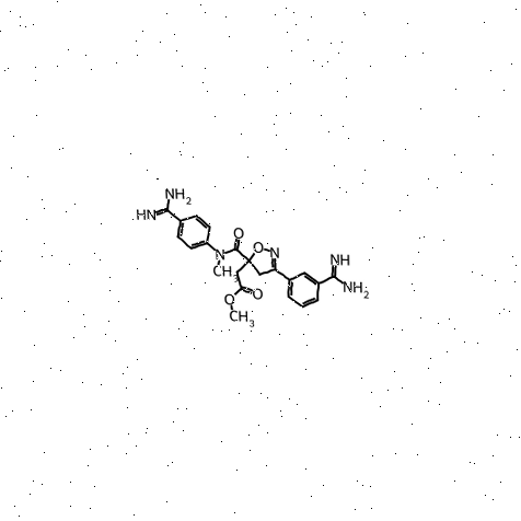 COC(=O)CC1(C(=O)N(C)c2ccc(C(=N)N)cc2)CC(c2cccc(C(=N)N)c2)=NO1